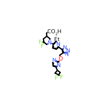 CCc1nc(-c2nnn(C)c2COc2nccc(C3CC(F)(F)C3)n2)ccc1N1CC(CC(=O)O)CC(F)(F)C1